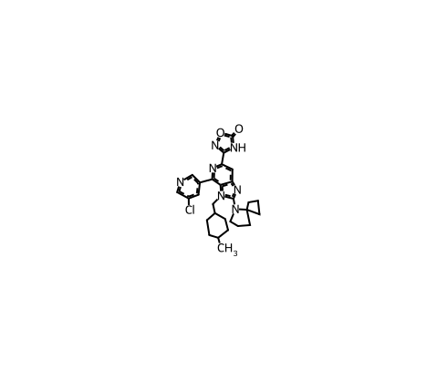 CC1CCC(Cn2c(N3CCCC34CCC4)nc3cc(-c4noc(=O)[nH]4)nc(-c4cncc(Cl)c4)c32)CC1